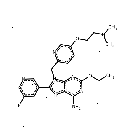 CCOc1nc(N)c2nc(-c3cncc(F)c3)n(Cc3ccc(OCCN(C)C)cn3)c2n1